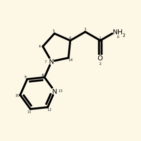 NC(=O)CC1CCN(c2ccccn2)C1